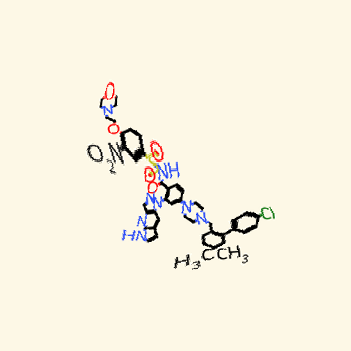 CC1(C)CCC(CN2CCN(c3ccc(C(=O)NS(=O)(=O)c4ccc(OCCN5CCOCC5)c([N+](=O)[O-])c4)c(-n4ncc5nc6[nH]ccc6cc54)c3)CC2)=C(c2ccc(Cl)cc2)C1